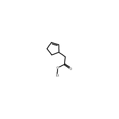 CCOC(=O)CC1C=CCC1